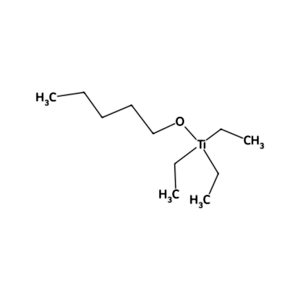 CCCCC[O][Ti]([CH2]C)([CH2]C)[CH2]C